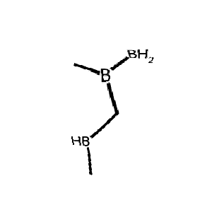 BB(C)CBC